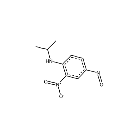 CC(C)Nc1ccc(N=O)cc1[N+](=O)[O-]